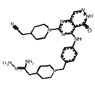 N#CCC1CCN(c2nc(Nc3ccc(CN4CCC(C/C(N)=N/N)CC4)cc3)c3c(=O)[nH]ncc3n2)CC1